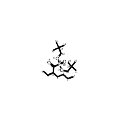 CCCCC(CC)C(=O)P(=O)(OCC(C)(C)C)OCC(C)(C)C